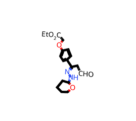 CCOC(=O)COc1ccc(/C(CC=O)=N/NC2CCCCO2)cc1